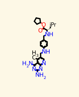 Cc1c(CNc2ccc(CN[C@@H](CC(C)C)C(=O)OC3CCCC3)cc2)cnc2nc(N)nc(N)c12